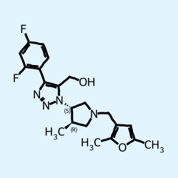 Cc1cc(CN2C[C@@H](C)[C@H](n3nnc(-c4ccc(F)cc4F)c3CO)C2)c(C)o1